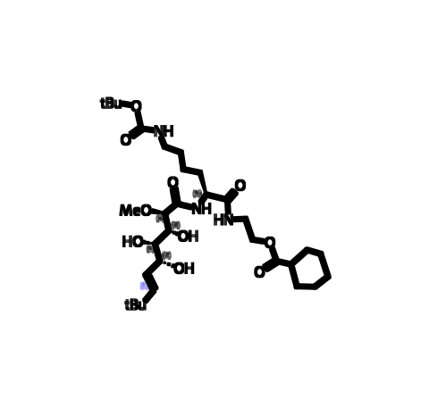 CO[C@@H](C(=O)N[C@@H](CCCCNC(=O)OC(C)(C)C)C(=O)NCCOC(=O)C1CCCCC1)[C@H](O)[C@@H](O)[C@H](O)/C=C/C(C)(C)C